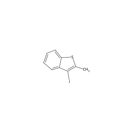 Cc1sc2ccccc2c1I